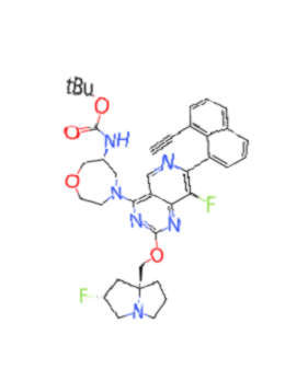 C#Cc1cccc2cccc(-c3ncc4c(N5CCOC[C@@H](NC(=O)OC(C)(C)C)C5)nc(OC[C@@]56CCCN5C[C@H](F)C6)nc4c3F)c12